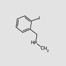 CPCc1ccccc1I